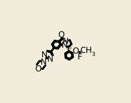 CC(F)Oc1ccccc1[C@@H]1CCn2c(=O)c3ccc(-c4cnc(N5CCOCC5)nc4)cc3n21